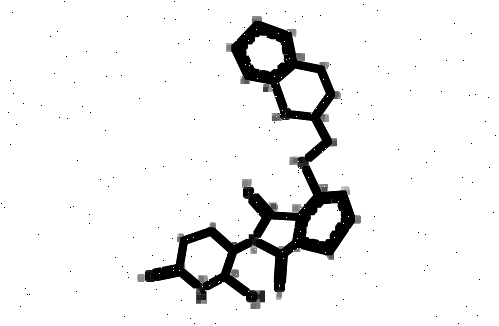 O=C1CCC(N2C(=O)c3cccc(OCC4CCc5ccccc5O4)c3C2=O)C(O)N1